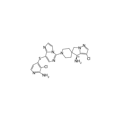 Nc1nccc(Sc2cnc(N3CCC4(CC3)Cn3ncc(Cl)c3[C@H]4N)n3ccnc23)c1Cl